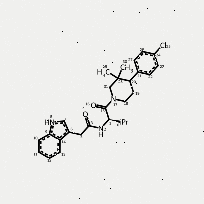 CC(C)[C@@H](NC(=O)Cc1c[nH]c2ccccc12)C(=O)N1CCC(c2ccc(Cl)cc2)C(C)(C)C1